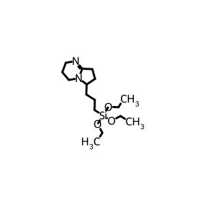 CCO[Si](CCCC1CCC2=NCCCN21)(OCC)OCC